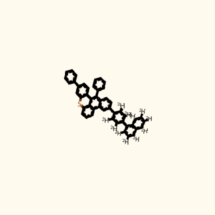 [2H]c1c([2H])c(-c2c([2H])c([2H])c([2H])c3c([2H])c([2H])c([2H])c([2H])c23)c([2H])c([2H])c1-c1ccc2c(-c3ccccc3)c3c4c(cccc4c2c1)Sc1cc(-c2ccccc2)ccc1-3